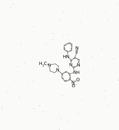 CN1CCN(c2ccc([N+](=O)[O-])c(Nc3ncc(C#N)c(Nc4ccccc4)n3)c2)CC1